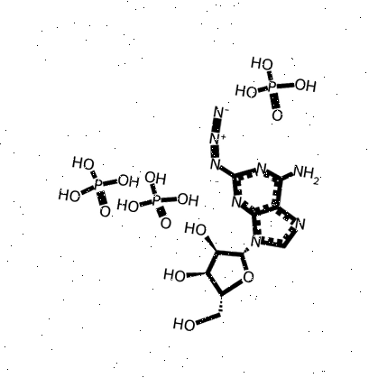 O=P(O)(O)O.O=P(O)(O)O.O=P(O)(O)O.[N-]=[N+]=Nc1nc(N)c2ncn([C@@H]3O[C@H](CO)[C@@H](O)[C@H]3O)c2n1